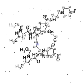 CCn1nc(C)cc1C(=O)Nc1nc2cc(C=O)cc3c2n1C/C=C/Cn1c(NC(=O)c2cc(C)nn2CC)nc2cc(C(=O)NCCCN4CCC(F)CC4)cc(c21)OCCCO3